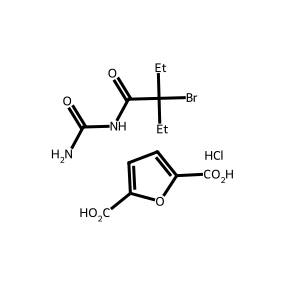 CCC(Br)(CC)C(=O)NC(N)=O.Cl.O=C(O)c1ccc(C(=O)O)o1